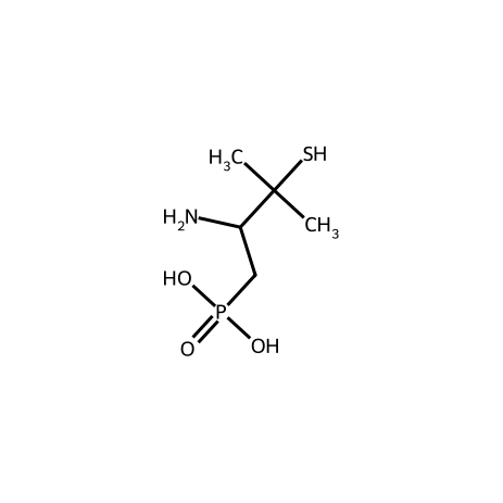 CC(C)(S)C(N)CP(=O)(O)O